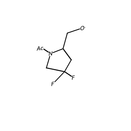 CC(=O)N1CC(F)(F)CC1C[O]